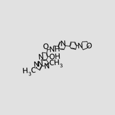 Cc1cc2nc(C)c3c(O)c(C(=O)NCc4ccc(-c5ccc(N6CCOCC6)cc5)nc4)cnc3n2n1